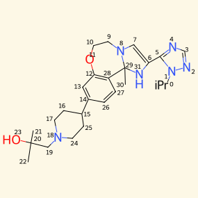 CC(C)n1ncnc1C1=CN2CCOc3cc(C4CCN(CC(C)(C)O)CC4)ccc3C2(C)N1